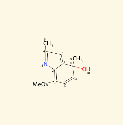 COC1=C2N=C(C)C=C2C(C)(O)C=C1